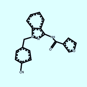 N#Cc1ccc(Cn2nc(NC(=O)c3ccoc3)c3ccccc32)cc1